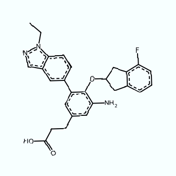 CCn1ncc2cc(-c3cc(CCC(=O)O)cc(N)c3OC3Cc4cccc(F)c4C3)ccc21